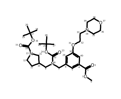 COC(=O)c1cc(CN(CC2CCN(C(=O)OC(C)(C)C)C2)C(=O)OC(C)(C)C)cc(OCCN2CCOCC2)c1